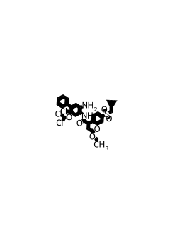 CCOC(=O)CC(C(=O)NC1=C(N)C=C(c2ccccc2)C(Cl)(OC(Cl)Cl)C1)c1ccc(S(=O)(=O)CC2CC2)cc1